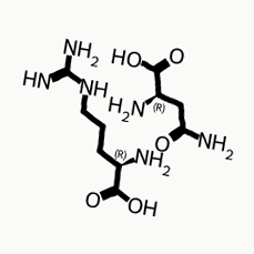 N=C(N)NCCC[C@@H](N)C(=O)O.NC(=O)C[C@@H](N)C(=O)O